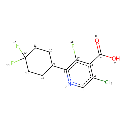 O=C(O)c1c(Cl)cnc(C2CCC(F)(F)CC2)c1F